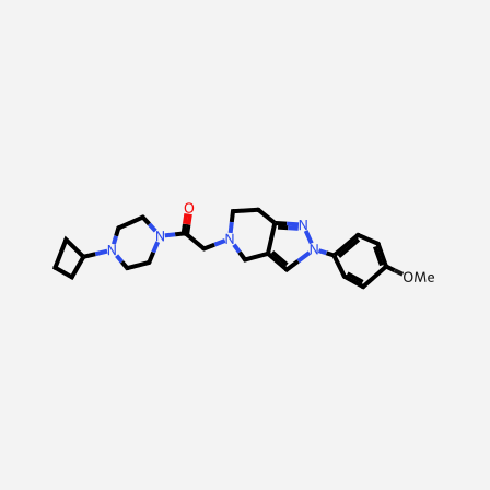 COc1ccc(-n2cc3c(n2)CCN(CC(=O)N2CCN(C4CCC4)CC2)C3)cc1